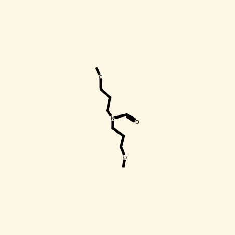 COCCCN([C]=O)CCCOC